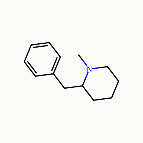 CN1CCCCC1Cc1cc[c]cc1